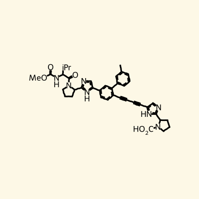 COC(=O)NC(C(=O)N1CCCC1c1ncc(-c2ccc(C#CC#Cc3cnc(C4CCCN4C(=O)O)[nH]3)c(-c3cccc(C)c3)c2)[nH]1)C(C)C